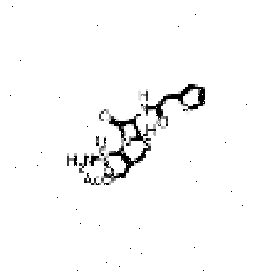 CC(=O)OCC1=C(S(N)(=O)=O)N2C(=O)[C@@H](NC(=O)Cc3cccs3)[C@@H]2SC1